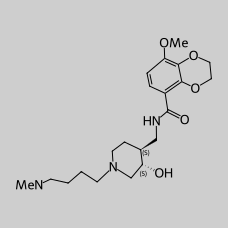 CNCCCCN1CC[C@@H](CNC(=O)c2ccc(OC)c3c2OCCO3)[C@H](O)C1